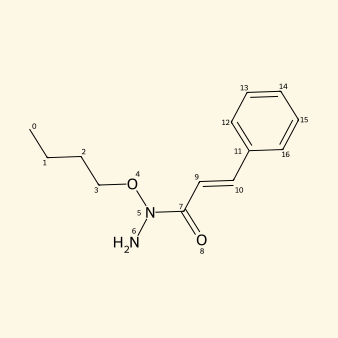 CCCCON(N)C(=O)C=Cc1ccccc1